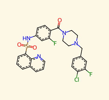 O=C(c1ccc(NS(=O)(=O)c2cccc3cccnc23)cc1F)N1CCN(Cc2ccc(Cl)c(F)c2)CC1